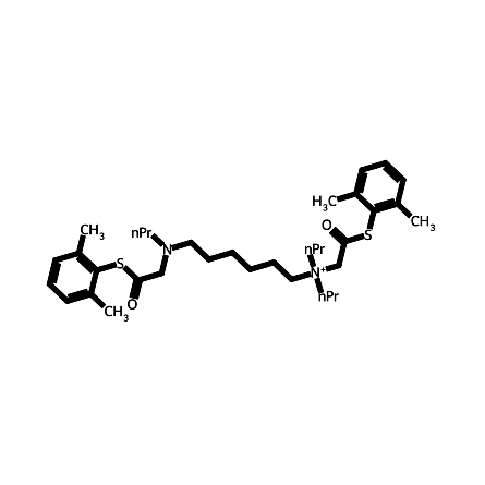 CCCN(CCCCCC[N+](CCC)(CCC)CC(=O)Sc1c(C)cccc1C)CC(=O)Sc1c(C)cccc1C